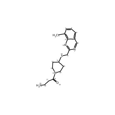 Cc1cccc2cnc(CSC3CCN(C(=O)CCN)CC3)nc12